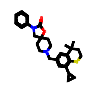 CC1(C)CCSc2c(C3CC3)cc(CN3CCC4(CC3)CN(c3ccccc3)C(=O)O4)cc21